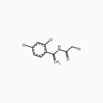 [2H]CC(=O)NC(=C)c1ccc(Cl)cc1Cl